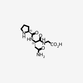 NC(=O)C[C@H](NC(=O)[C@@H]1CCCN1)C(=O)NCC(=O)O